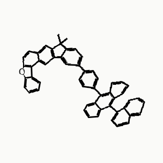 CC1(C)c2ccc(-c3ccc(-c4c5ccccc5c(-c5cccc6ccccc56)c5ccccc45)cc3)cc2-c2cc3c(ccc4oc5ccccc5c43)cc21